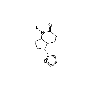 O=C1CCC2C(c3ccco3)CCC2N1I